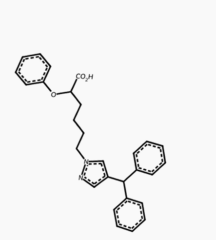 O=C(O)C(CCCCn1cc(C(c2ccccc2)c2ccccc2)cn1)Oc1ccccc1